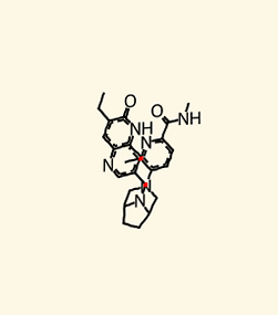 CCc1cc2ncc(CN3C4CCC3CN(c3ccc(C(=O)NC)nc3C)C4)cc2[nH]c1=O